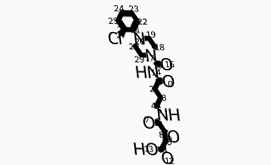 O=C(CCCNC(=O)C1OC1C(=O)O)NC(=O)N1CCN(c2ccccc2Cl)CC1